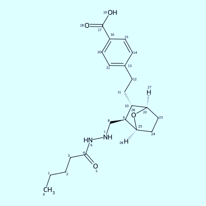 CCCCC(=O)NNC[C@H]1[C@H](CCc2ccc(C(=O)O)cc2)[C@H]2CC[C@@H]1O2